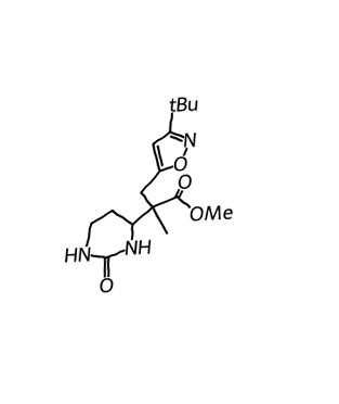 COC(=O)C(C)(Cc1cc(C(C)(C)C)no1)C1CCNC(=O)N1